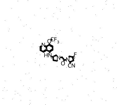 N#CC1C[C@H](F)CN1C(=O)CN1CC[C@@H](Nc2ccc(OC(F)(F)F)c3ncccc23)C1